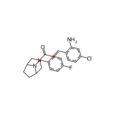 Nc1cc(Cl)ccc1C=CC(=O)N1CC2CCC(C1)N2Cc1ccc(F)cc1